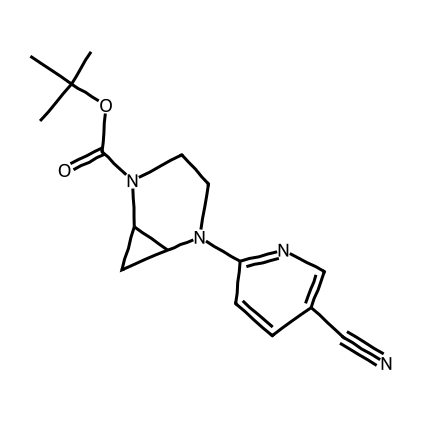 CC(C)(C)OC(=O)N1CCN(c2ccc(C#N)cn2)C2CC21